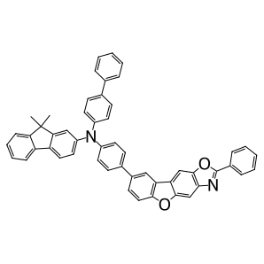 CC1(C)c2ccccc2-c2ccc(N(c3ccc(-c4ccccc4)cc3)c3ccc(-c4ccc5oc6cc7nc(-c8ccccc8)oc7cc6c5c4)cc3)cc21